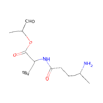 CC(N)CCC(=O)NC(C(=O)OC(C)C=O)C(C)(C)C